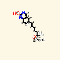 CCCCCOC(C)CCC/C=C/c1ccc2nc(O)ncc2c1